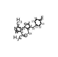 Cc1nnc2n1-c1scc(Cc3ccc(F)cc3)c1CO[C@H]2C